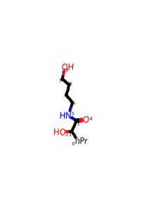 CCCC(O)C(=O)NCCCCO